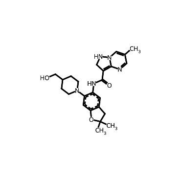 CC1=CN2NCC(C(=O)Nc3cc4c(cc3N3CCC(CO)CC3)OC(C)(C)C4)=C2N=C1